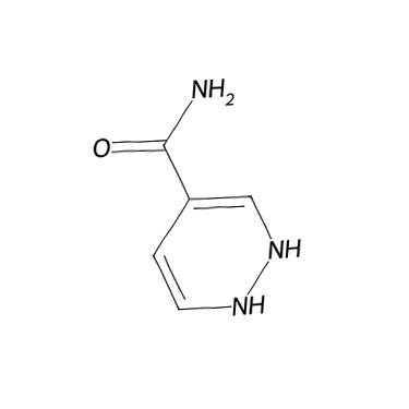 NC(=O)C1=CNNC=C1